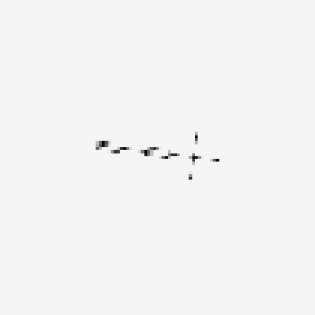 C#CC#CC(C)(C)C